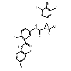 O=C(Nc1ccc(F)cc1F)c1cc(NC(=O)[C@H]2[C@H](c3cc(F)c(Br)c(F)c3)C2(Cl)Cl)ccc1Cl